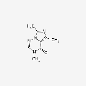 Cc1nc(C)n2ncn(C)c(=O)c12